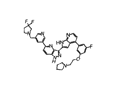 Fc1cc(OCCN2CCCC2)cc(-c2ccnc3[nH]c(-c4n[nH]c5ccc(-c6cncc(CN7CCC(F)(F)C7)c6)nc45)cc23)c1